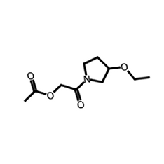 CCOC1CCN(C(=O)COC(C)=O)C1